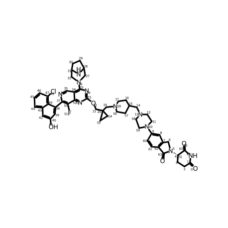 O=C1CC[C@H](N2Cc3cc(N4CCN(CC5CCN(CC6(COc7nc(N8CC9CCC(C8)N9)c8cnc(-c9cc(O)cc%10cccc(Cl)c9%10)c(F)c8n7)CC6)CC5)CC4)ccc3C2=O)C(=O)N1